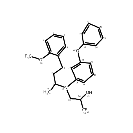 CC(CCc1ccccc1OC(F)(F)F)N(CC(O)C(F)(F)F)c1cccc(Oc2ccccc2)c1